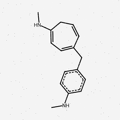 CNC1=CC=C(Cc2ccc(NC)cc2)C=CC1